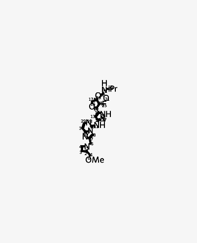 COCC1CCN1Cc1cn2c(Nc3cc([C@@H]4OC[C@H](OC(=O)NC(C)C)[C@H]4F)[nH]n3)nccc2n1